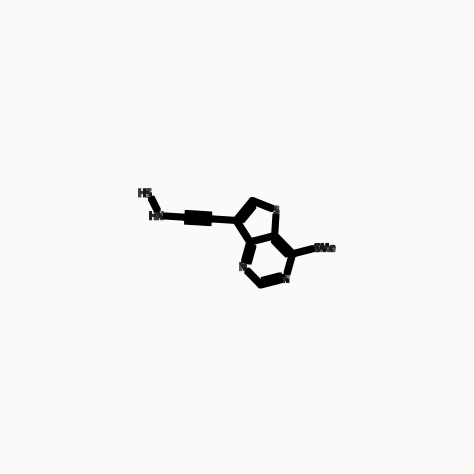 CSc1ncnc2c(C#CNS)csc12